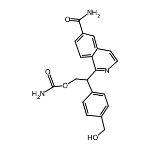 NC(=O)OCC(c1ccc(CO)cc1)c1nccc2cc(C(N)=O)ccc12